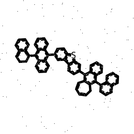 C1=CCc2c(c(-c3ccc4c(c3)sc3ccc(-c5c6ccccc6c(C6=c7ccccc7=CCC6)c6ccccc56)cc34)c3ccccc3c2-c2cccc3ccccc23)C=C1